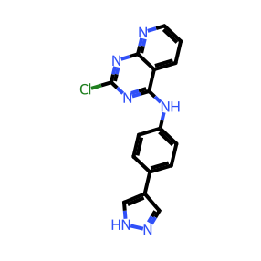 Clc1nc(Nc2ccc(-c3cn[nH]c3)cc2)c2cccnc2n1